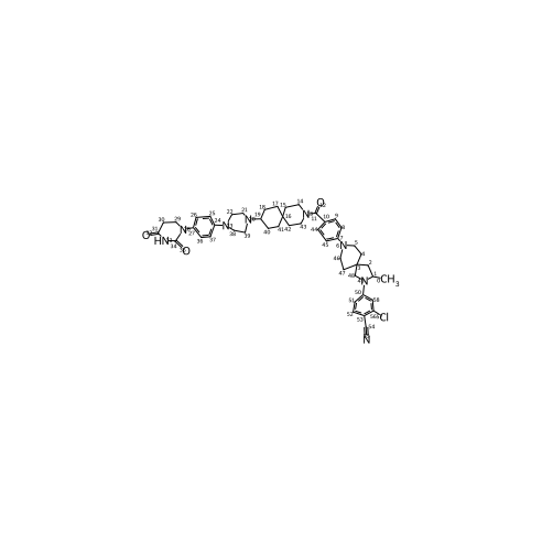 CC1CC2(CCN(c3ccc(C(=O)N4CCC5(CCC(N6CCN(c7ccc(N8CCC(=O)NC8=O)cc7)CC6)CC5)CC4)cc3)CC2)CN1c1ccc(C#N)c(Cl)c1